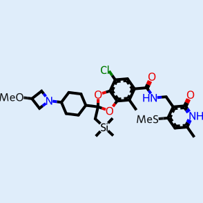 COC1CN(C2CCC(C3(C[Si](C)(C)C)Oc4c(Cl)cc(C(=O)NCc5c(SC)cc(C)[nH]c5=O)c(C)c4O3)CC2)C1